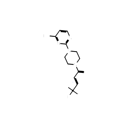 Cc1ccnc(N2CCN(C(=O)/C=C/C(F)(F)F)CC2)n1